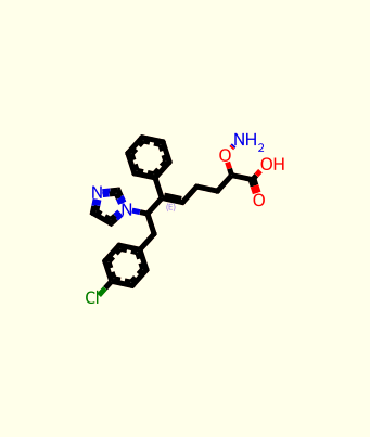 NOC(CC/C=C(\c1ccccc1)C(Cc1ccc(Cl)cc1)n1ccnc1)C(=O)O